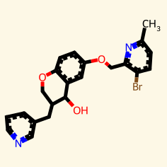 Cc1ccc(Br)c(COc2ccc3c(c2)C(O)C(Cc2cccnc2)CO3)n1